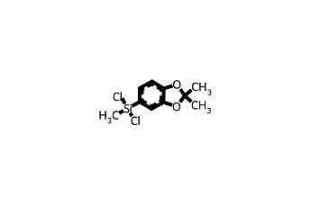 CC1(C)Oc2ccc([Si](C)(Cl)Cl)cc2O1